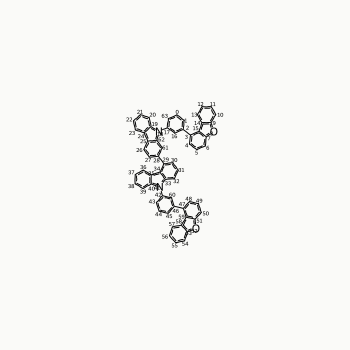 c1cc(-c2cccc3oc4ccccc4c23)cc(-n2c3ccccc3c3ccc(-c4cccc5c4c4ccccc4n5-c4cccc(-c5cccc6oc7ccccc7c56)c4)cc32)c1